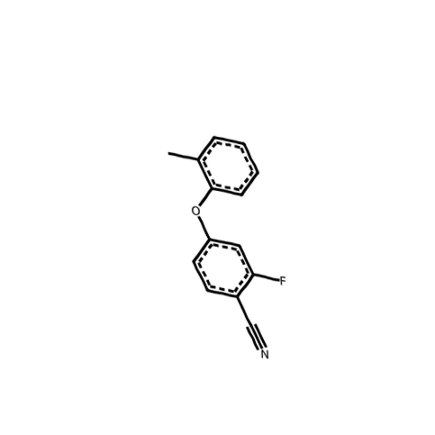 Cc1ccccc1Oc1ccc(C#N)c(F)c1